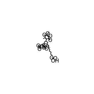 COC1=C(OC)C(=O)C(C(CCCCCCCCCOC(=O)O)CC(CO[N+](=O)[O-])O[N+](=O)[O-])=C(C)C1=O